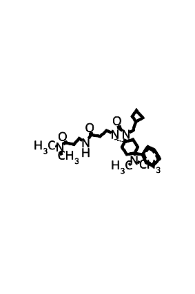 CN(C)C(=O)CCNC(=O)CCN1C[C@]2(CC[C@](c3ccccc3)(N(C)C)CC2)N(CC2CCC2)C1=O